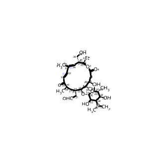 CC[C@H]1OC(=O)C[C@@H](O)[C@H](C)[C@@H](O[C@@H]2O[C@H](C)[C@@H](O)C(N(C)C)C2O)[C@@H](CC=O)C[C@@H](C)C(=O)/C=C/C(C)=C/[C@@H]1CO